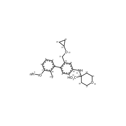 CCCOc1cccc(-c2ccc(NC3(C(=O)O)CCOCC3)cc2COC2CC2)c1F